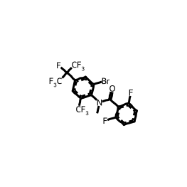 CN(C(=O)c1c(F)cccc1F)c1c(Br)cc(C(F)(C(F)(F)F)C(F)(F)F)cc1C(F)(F)F